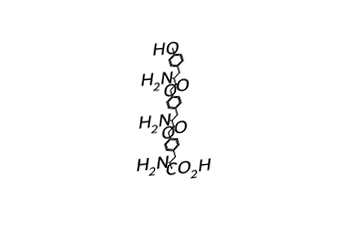 N[C@@H](Cc1ccc(OC(=O)[C@@H](N)Cc2ccc(OC(=O)[C@@H](N)Cc3ccc(O)cc3)cc2)cc1)C(=O)O